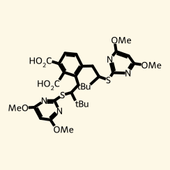 COc1cc(OC)nc(SC(Cc2ccc(C(=O)O)c(C(=O)O)c2CC(Sc2nc(OC)cc(OC)n2)C(C)(C)C)C(C)(C)C)n1